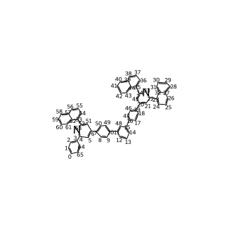 c1ccc(-c2cc(-c3ccc(-c4cccc(-c5ccc(-c6cc(-c7cccc8ccccc78)nc(-c7cccc8ccccc78)c6)cc5)c4)cc3)cc(-c3cccc4ccccc34)n2)cc1